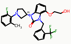 Cc1cccc(F)c1N1CC[C@@H](n2c(=O)n(Cc3ccccc3C(F)(F)F)c3c(OCCO)cccc32)C1